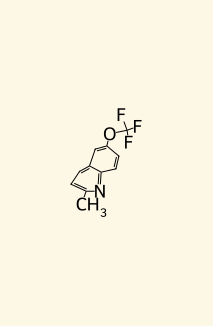 Cc1ccc2cc(OC(F)(F)F)ccc2n1